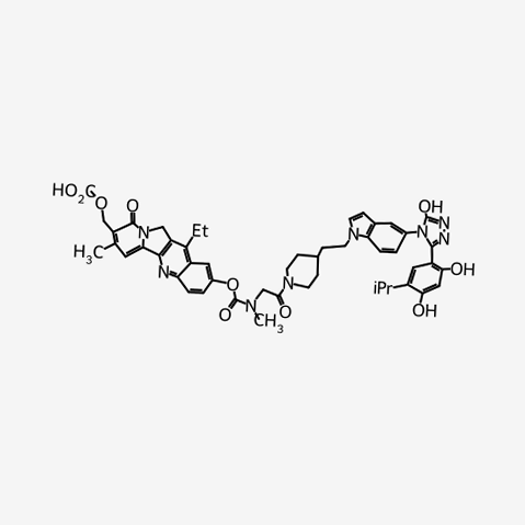 CCc1c2c(nc3ccc(OC(=O)N(C)CC(=O)N4CCC(CCn5ccc6cc(-n7c(O)nnc7-c7cc(C(C)C)c(O)cc7O)ccc65)CC4)cc13)-c1cc(C)c(COC(=O)O)c(=O)n1C2